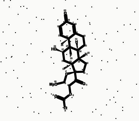 CCC(=O)OCC(=O)[C@@]1(OCOC)CC[C@H]2[C@@H]3CCC4=CC(=O)C=C[C@]4(C)[C@@]3(F)[C@@H](O)C[C@@]21C